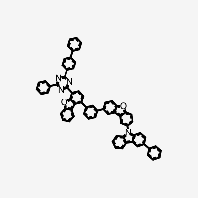 c1ccc(-c2ccc(-c3nc(-c4ccccc4)nc(-c4ccc(-c5cccc(-c6ccc7oc8ccc(-n9c%10ccccc%10c%10cc(-c%11ccccc%11)ccc%109)cc8c7c6)c5)c5c4oc4ccccc45)n3)cc2)cc1